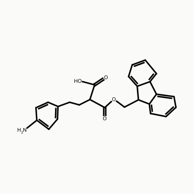 Nc1ccc(CCC(C(=O)O)C(=O)OCC2c3ccccc3-c3ccccc32)cc1